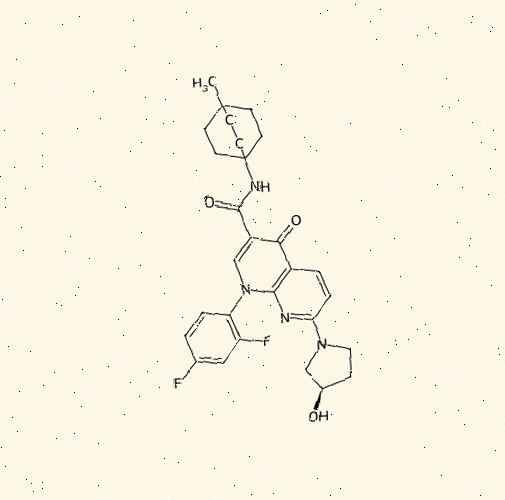 CC12CCC(NC(=O)c3cn(-c4ccc(F)cc4F)c4nc(N5CC[C@@H](O)C5)ccc4c3=O)(CC1)CC2